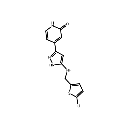 O=c1cc(-c2cc(NCc3ccc(Cl)s3)[nH]n2)cc[nH]1